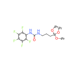 CC(C)O[Si](CCCNC(=O)Nc1c(F)c(F)c(F)c(F)c1F)(OC(C)C)OC(C)C